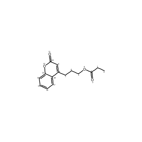 CCC(=O)OCCCc1cc(=O)oc2ccccc12